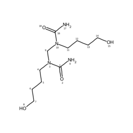 NC(=O)N(CCCCO)CN(CCCCO)C(N)=O